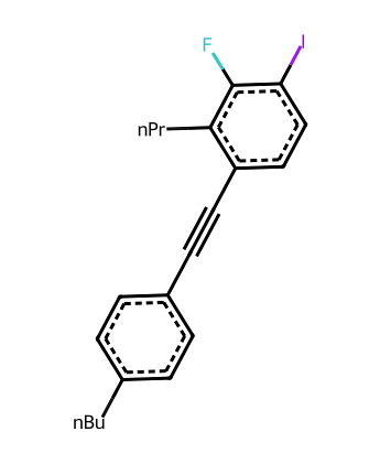 CCCCc1ccc(C#Cc2ccc(I)c(F)c2CCC)cc1